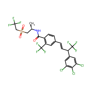 C[C@H](CS(=O)(=O)CC(F)(F)F)NC(=O)c1ccc(/C=C/C(c2cc(Cl)c(Cl)c(Cl)c2)C(F)(F)F)cc1C(F)(F)F